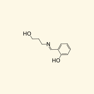 OCCC/N=C/c1ccccc1O